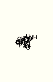 C[C@H]1COC(C)(C)CN1c1nc(-c2c(O)cccc2F)c(Cl)c2c1C(=O)N1CCNC[C@@H]1CO2